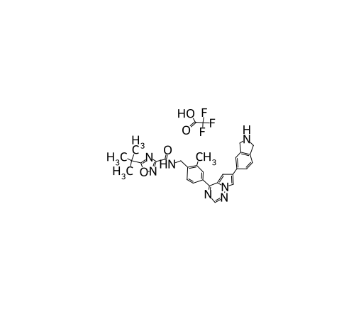 Cc1cc(-c2ncnn3cc(-c4ccc5c(c4)CNC5)cc23)ccc1CNC(=O)c1noc(C(C)(C)C)n1.O=C(O)C(F)(F)F